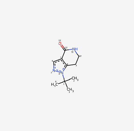 CC(C)(C)n1ncc2c1CCNC2=O